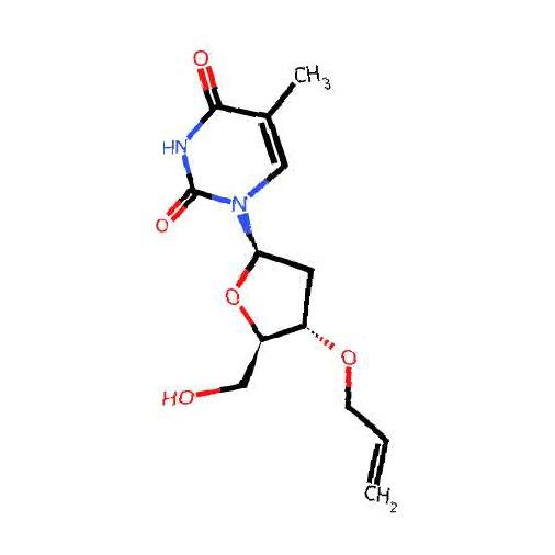 C=CCO[C@H]1C[C@H](n2cc(C)c(=O)[nH]c2=O)O[C@@H]1CO